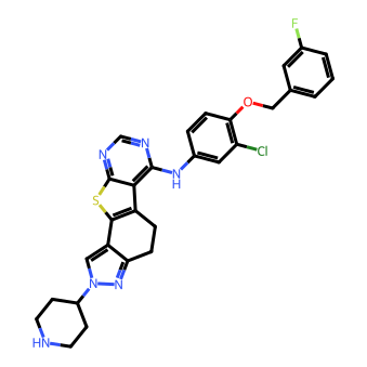 Fc1cccc(COc2ccc(Nc3ncnc4sc5c(c34)CCc3nn(C4CCNCC4)cc3-5)cc2Cl)c1